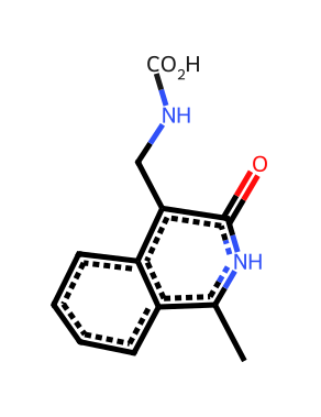 Cc1[nH]c(=O)c(CNC(=O)O)c2ccccc12